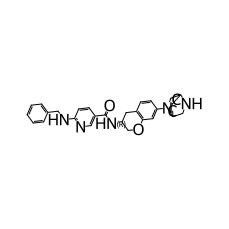 O=C(N[C@H]1COc2cc(N3CC4CCCC3CN4)ccc2C1)c1ccc(NCc2ccccc2)nc1